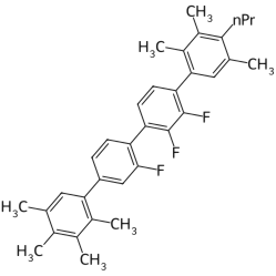 CCCc1c(C)cc(-c2ccc(-c3ccc(-c4cc(C)c(C)c(C)c4C)cc3F)c(F)c2F)c(C)c1C